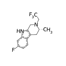 C[C@@H]1Cc2c([nH]c3cc(F)ccc23)CN1CC(F)(F)F